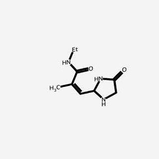 CCNC(=O)C(C)=CC1NCC(=O)N1